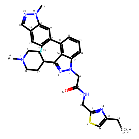 CC(=O)N1CCC(c2nn(CC(=O)NCc3nc(CC(=O)O)cs3)c3cccc(-c4cc5c(cnn5C)cc4F)c23)CC1